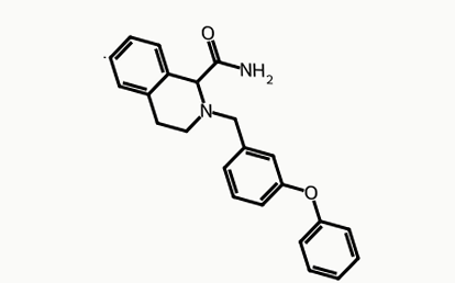 NC(=O)C1c2cc[c]cc2CCN1Cc1cccc(Oc2ccccc2)c1